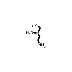 CCCCN(N)CCN